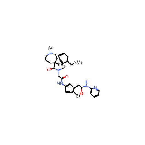 CCc1ccc(NC(=O)CN(Cc2ccccc2CNC)C(=O)C2(C)CCCN(C(C)=O)CC2)cc1CC(=O)Nc1ccccn1